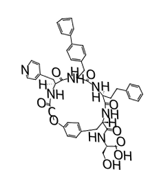 O=C1COc2ccc(cc2)C[C@@H](C(=O)N[C@H](CO)C(=O)O)NC(=O)[C@H](CCc2ccccc2)NC(=O)[C@@H](Cc2ccc(-c3ccccc3)cc2)NC(=O)[C@H](Cc2ccncc2)N1